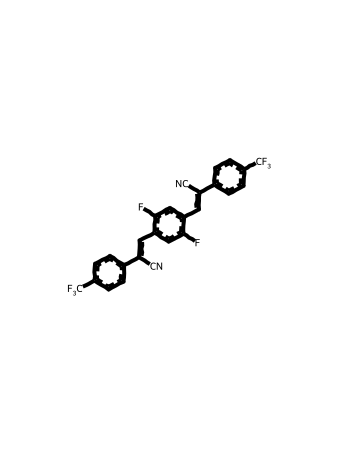 N#C/C(=C\c1cc(F)c(/C=C(\C#N)c2ccc(C(F)(F)F)cc2)cc1F)c1ccc(C(F)(F)F)cc1